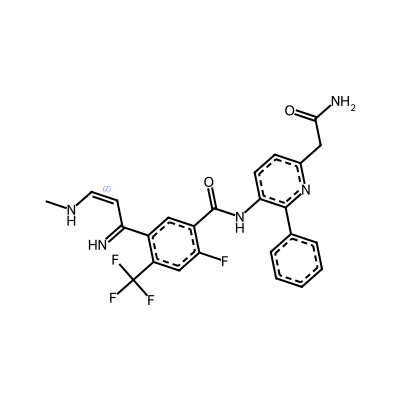 CN/C=C\C(=N)c1cc(C(=O)Nc2ccc(CC(N)=O)nc2-c2ccccc2)c(F)cc1C(F)(F)F